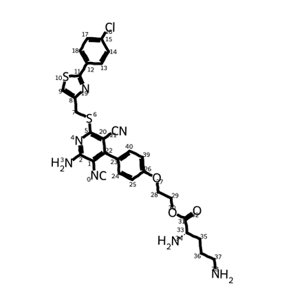 [C-]#[N+]c1c(N)nc(SCc2csc(-c3ccc(Cl)cc3)n2)c(C#N)c1-c1ccc(OCCOC(=O)[C@@H](N)CCCN)cc1